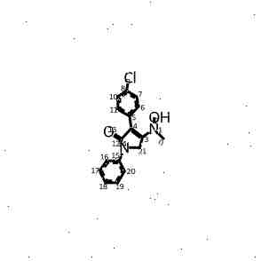 CN(O)C1=C(c2ccc(Cl)cc2)C(=O)N(c2ccccc2)C1